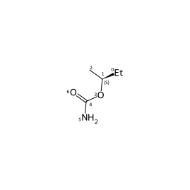 CC[C@H](C)OC(N)=O